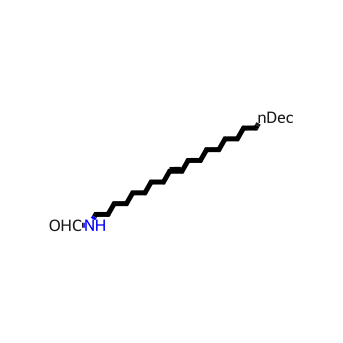 CCCCCCCCCCCCCCCCCCC=CCCCCCCCCNC=O